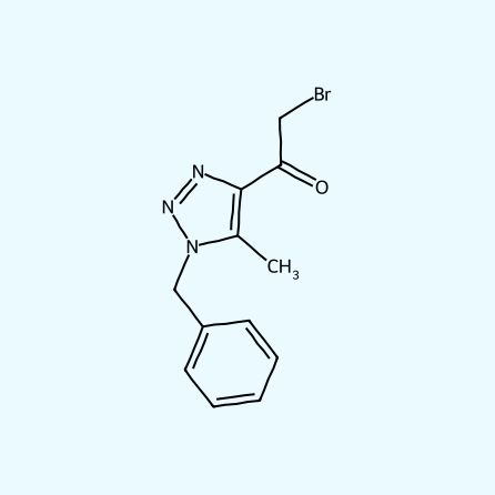 Cc1c(C(=O)CBr)nnn1Cc1ccccc1